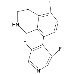 Cc1ccc(-c2c(F)cncc2F)c2c1CCNC2